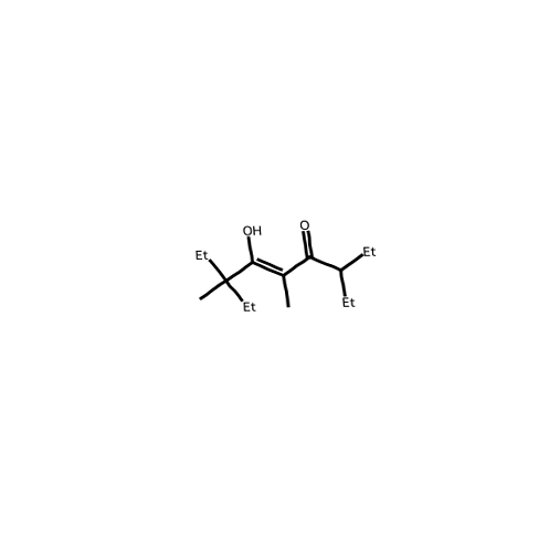 CCC(CC)C(=O)/C(C)=C(\O)C(C)(CC)CC